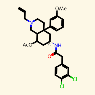 C=CCN1CCC2(c3cccc(OC)c3)C[C@H](NC(=O)Cc3ccc(Cl)c(Cl)c3)CC(OC(C)=O)C2C1